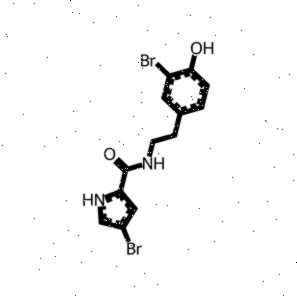 O=C(NCCc1ccc(O)c(Br)c1)c1cc(Br)c[nH]1